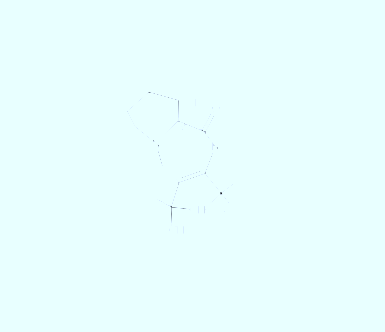 CC(C)(C)C1=C(C(C)(C)C)NC(=O)[C@@H]2CCCCN2C1